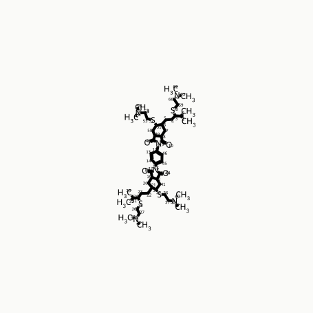 CC(C)C(CCC1CC2C(=O)N(c3ccc(N4C(=O)C5CC(CCC(SCCN(C)C)C(C)C)C(SCCN(C)C)CC5C4=O)cc3)C(=O)C2CC1SCCN(C)C)SCCN(C)C